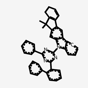 CC1(C)C2=C(C=CCC2)c2cc3c4ccccc4n(-c4nc(-c5ccccc5)nc(-c5ccccc5-c5ccccc5)n4)c3cc21